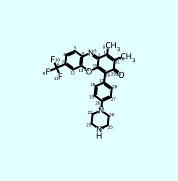 Cc1c2nc3ccc(C(F)(F)F)cc3oc-2c(-c2ccc(N3CCNCC3)cc2)c(=O)c1C